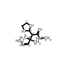 CNC(=O)C(C1OCCO1)C(C)(C)/C=N\O